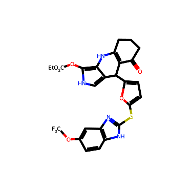 CCOC(=O)Oc1[nH]cc2c1NC1=C(C(=O)CCC1)C2c1ccc(Sc2nc3cc(OC(F)(F)F)ccc3[nH]2)o1